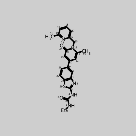 CCNC(=O)Nc1nc2cc(-c3cc(C)n(Cc4cccc(C)n4)c(=O)c3)ccc2s1